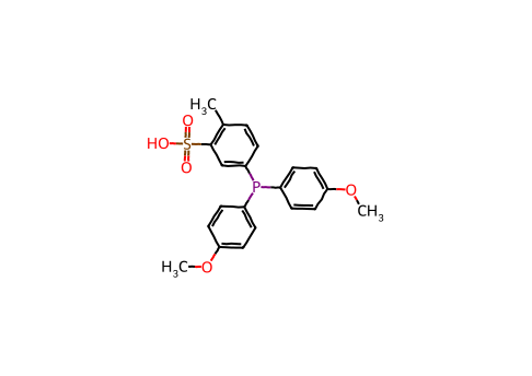 COc1ccc(P(c2ccc(OC)cc2)c2ccc(C)c(S(=O)(=O)O)c2)cc1